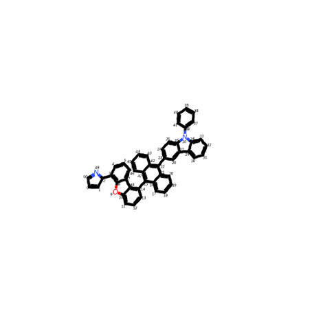 C1=CC(c2cccc3c2oc2cccc(-c4c5ccccc5c(-c5ccc6c(c5)c5ccccc5n6-c5ccccc5)c5ccccc45)c23)N=C1